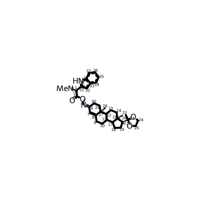 CN[C@H](C(=O)O/N=C1/C=C2CCC3C(CC[C@@]4(C)C3CC[C@@H]4C3(C)OCCO3)[C@@]2(C)CC1)c1cc2ccccc2[nH]1